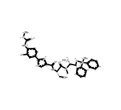 CN(C(=O)[C@H](CO)NC(=O)c1csc(-c2ccc(NC(=O)OC(C)(C)C)c(F)c2)n1)[C@@H](CO[Si](c1ccccc1)(c1ccccc1)C(C)(C)C)C(=O)O